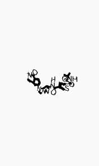 CC(C)NS(=O)(=O)c1cc(C(=O)Nc2cc3n(n2)CCN3c2ccc3c(c2)CCN(C)C3=O)cs1